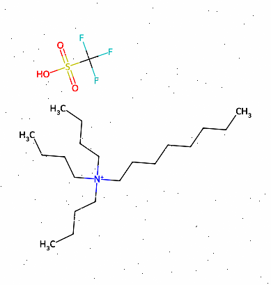 CCCCCCCC[N+](CCCC)(CCCC)CCCC.O=S(=O)(O)C(F)(F)F